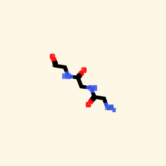 NCC(=O)NCC(=O)NC[C]=O